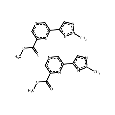 COC(=O)c1cncc(-c2cnn(C)n2)n1.COC(=O)c1cncc(-c2cnn(C)n2)n1